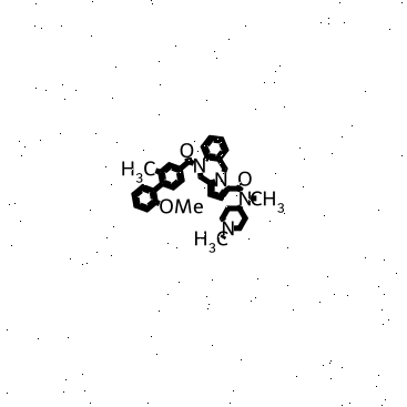 COc1ccccc1-c1ccc(C(=O)N2Cc3ccc(C(=O)N(C)C4CCN(C)CC4)n3Cc3ccccc32)cc1C